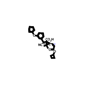 CC1(C)[C@H](/C=C\C(=O)OC2CCC2)[C@@]1(C(=O)O)[C@@H](C#N)c1cccc(Oc2ccccc2)c1